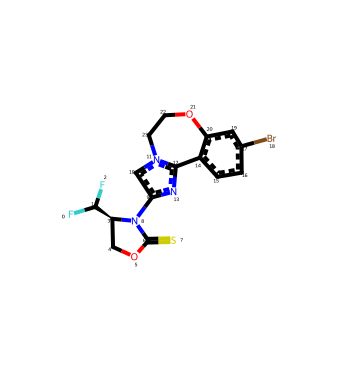 FC(F)[C@@H]1COC(=S)N1c1cn2c(n1)-c1ccc(Br)cc1OCC2